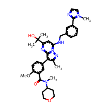 COc1ccc(-c2c(C)nn3c(NCc4cccc(-c5nccn5C)c4)cc(C(C)(C)O)nc23)cc1C(=O)N(C)C1CCOCC1